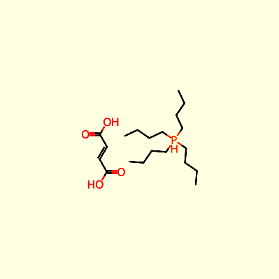 CCCC[PH](CCCC)(CCCC)CCCC.O=C(O)/C=C/C(=O)O